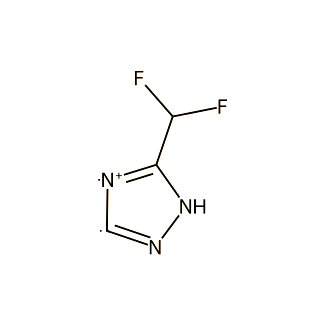 FC(F)C1=[N+][C]=NN1